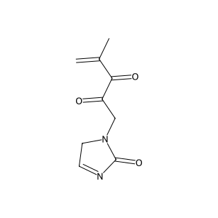 C=C(C)C(=O)C(=O)CN1CC=NC1=O